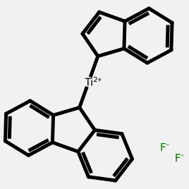 C1=C[CH]([Ti+2][CH]2c3ccccc3-c3ccccc32)c2ccccc21.[F-].[F-]